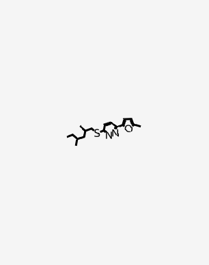 CCC(C)CC(C)CSc1ccc(-c2ccc(C)o2)nn1